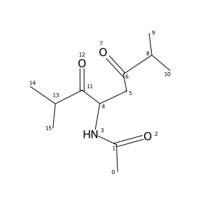 CC(=O)NC(CC(=O)C(C)C)C(=O)C(C)C